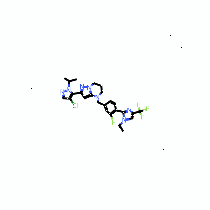 CCn1cc(C(F)(F)F)nc1-c1ccc(CN2CCCn3nc(-c4c(Cl)cnn4C(C)C)cc32)cc1F